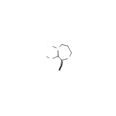 CCOC1C(=C=O)NCCCN1C